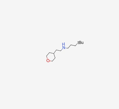 CC(C)(C)CCCNCCC1CCOCC1